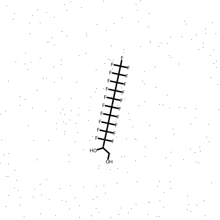 OCC(O)C(F)(F)C(F)(F)C(F)(F)C(F)(F)C(F)(F)C(F)(F)C(F)(F)C(F)(F)C(F)(F)C(F)(F)F